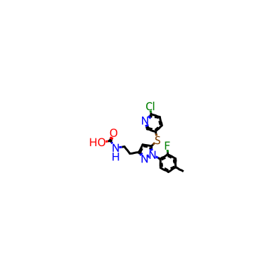 Cc1ccc(-n2nc(CCNC(=O)O)cc2Sc2ccc(Cl)nc2)c(F)c1